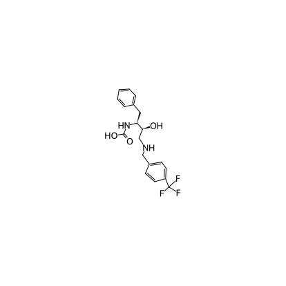 O=C(O)N[C@@H](Cc1ccccc1)[C@@H](O)CNCc1ccc(C(F)(F)F)cc1